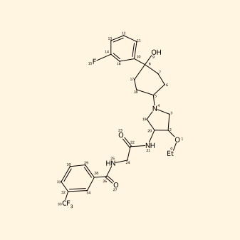 CCOC1CN(C2CCC(O)(c3cccc(F)c3)CC2)CC1NC(=O)CNC(=O)c1cccc(C(F)(F)F)c1